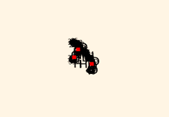 O=C(NOC1CCCCO1)c1cnc(N2CCN(S(=O)(=O)c3ccc4ccccc4c3)C(C(=O)NOC3CCCCO3)C2)nc1